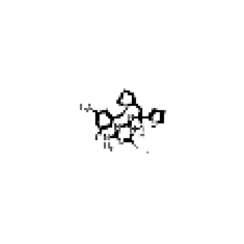 NC1=NC2=NC(CC3CCCN3Cc3cc(Cl)cc(C(F)(F)F)c3)(c3ccco3)NN2C(N)=N1